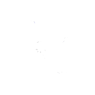 CCCCCCCC/C=C\CCCCCCCC(=O)OC[C@@H](O)[C@H]1OC[C@H](OC(=O)CCCCCCC/C=C\CCCCCCCC)[C@H]1OC(=O)CCCCCCC/C=C\CCCCCCCC